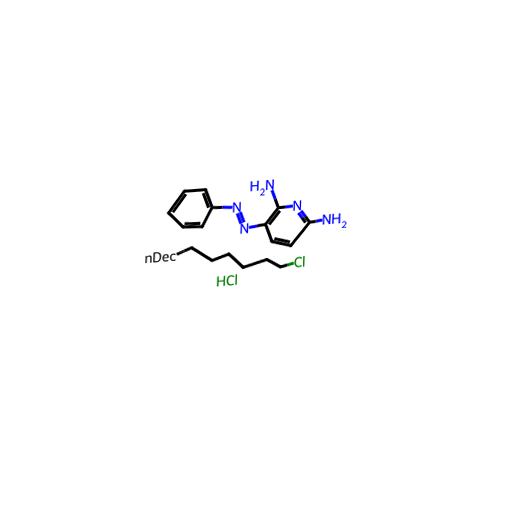 CCCCCCCCCCCCCCCCCl.Cl.Nc1ccc(/N=N/c2ccccc2)c(N)n1